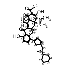 CN(C)[C@H]1C(O)=C(C(N)=O)C(=O)[C@@]2(O)C(O)=C3C(=O)c4c(O)ccc(C5=CC=C(CNC6CCCCC6)C5)c4C[C@H]3C[C@@H]12